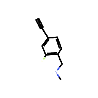 C#Cc1ccc(CNC)c(F)c1